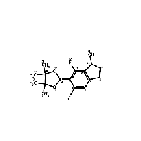 CC1(C)OB(c2c(F)cc3c(c2F)C(O)CC3)OC1(C)C